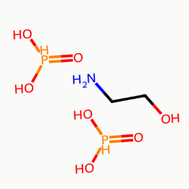 NCCO.O=[PH](O)O.O=[PH](O)O